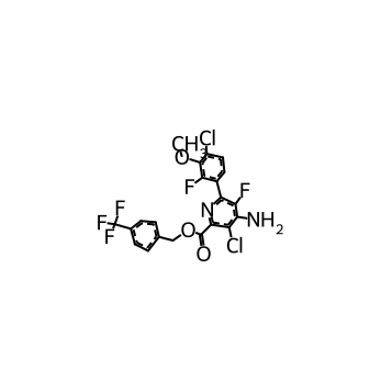 COc1c(Cl)ccc(-c2nc(C(=O)OCc3ccc(C(F)(F)F)cc3)c(Cl)c(N)c2F)c1F